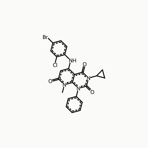 Cn1c(=O)cc(Nc2ccc(Br)cc2Cl)c2c(=O)n(C3CC3)c(=O)n(-c3ccccc3)c21